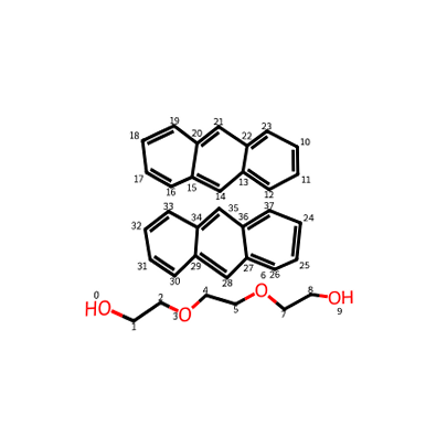 OCCOCCOCCO.c1ccc2cc3ccccc3cc2c1.c1ccc2cc3ccccc3cc2c1